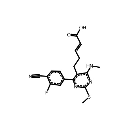 CNc1nc(SC)nc(-c2ccc(C#N)c(F)c2)c1CC/C=C/C(=O)O